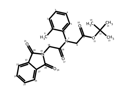 Cc1ccccc1N(CC(=O)OC(C)(C)C)C(=O)CN1C(=O)c2ccccc2C1=O